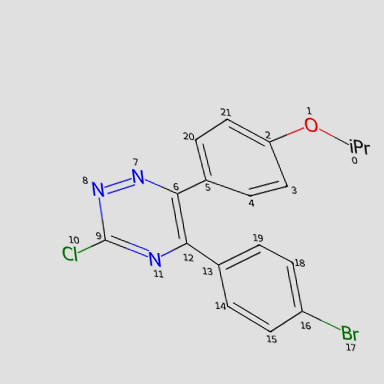 CC(C)Oc1ccc(-c2nnc(Cl)nc2-c2ccc(Br)cc2)cc1